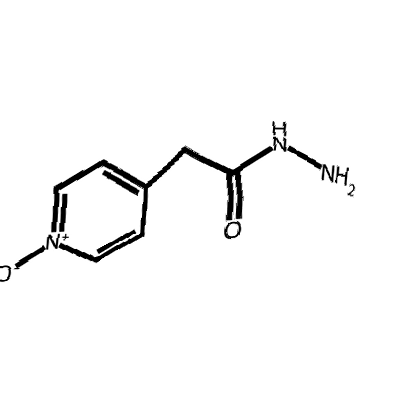 NNC(=O)Cc1cc[n+]([O-])cc1